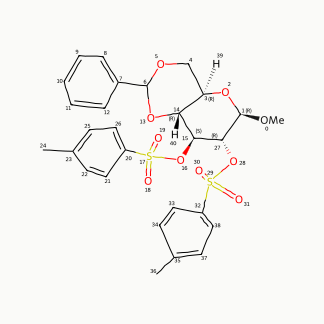 CO[C@@H]1O[C@@H]2COC(c3ccccc3)O[C@H]2[C@H](OS(=O)(=O)c2ccc(C)cc2)[C@H]1OS(=O)(=O)c1ccc(C)cc1